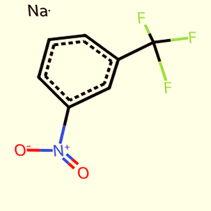 O=[N+]([O-])c1cccc(C(F)(F)F)c1.[Na]